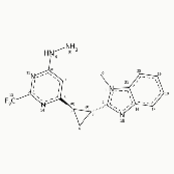 Cn1c([C@@H]2C[C@H]2c2cc(NN)nc(C(F)(F)F)n2)nc2ccccc21